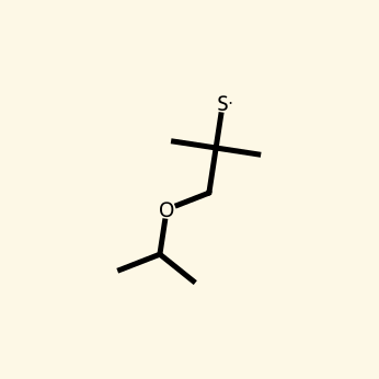 CC(C)OCC(C)(C)[S]